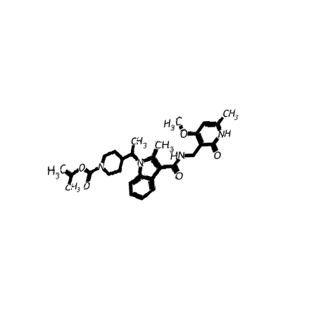 COc1cc(C)[nH]c(=O)c1CNC(=O)c1c(C)n(C(C)C2CCN(C(=O)OC(C)C)CC2)c2ccccc12